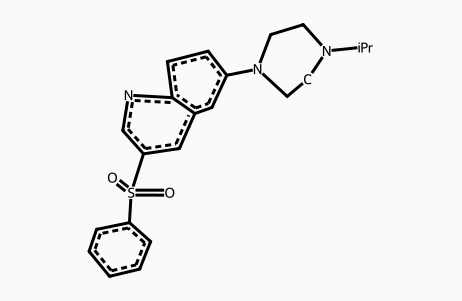 CC(C)N1CCN(c2ccc3ncc(S(=O)(=O)c4ccccc4)cc3c2)CC1